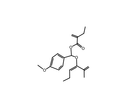 C=C(CC)C(=O)OC(O/C(=C/CC)C(=C)C)c1ccc(OC)cc1